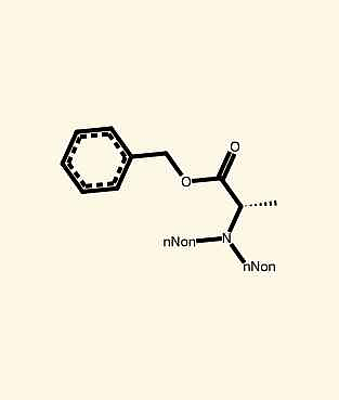 CCCCCCCCCN(CCCCCCCCC)[C@@H](C)C(=O)OCc1ccccc1